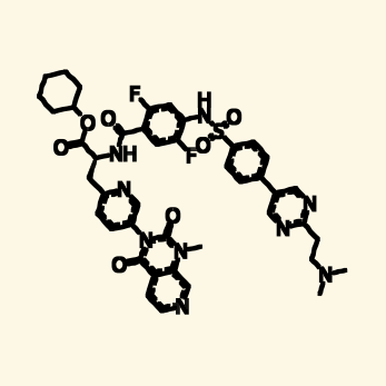 CN(C)CCc1ncc(-c2ccc(S(=O)(=O)Nc3cc(F)c(C(=O)N[C@@H](Cc4ccc(-n5c(=O)c6ccncc6n(C)c5=O)cn4)C(=O)OC4CCCCC4)cc3F)cc2)cn1